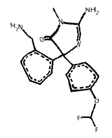 CN1C(=O)C(c2ccc(OC(F)F)cc2)(c2ccccc2CN)N=C1N